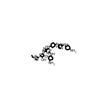 CCn1nnc([C@H]2O[C@@H](n3cnc4c(NC5CCC(Nc6ccnc(NC7CCC(N)CC7)n6)CC5)nc(NC5CCC(N)CC5)nc43)[C@H](O)[C@@H]2O)n1